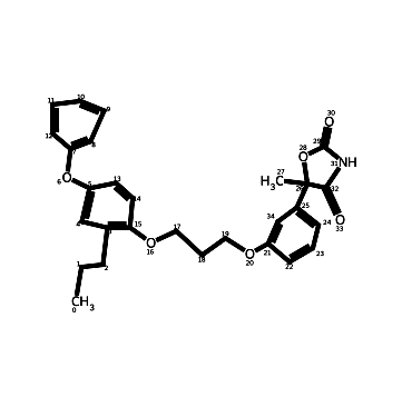 CCCc1cc(Oc2ccccc2)ccc1OCCCOc1cccc(C2(C)OC(=O)NC2=O)c1